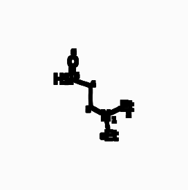 CCN(CC)CC[SiH]=O